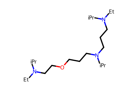 CCN(CCCN(CCCOCCN(CC)C(C)C)C(C)C)C(C)C